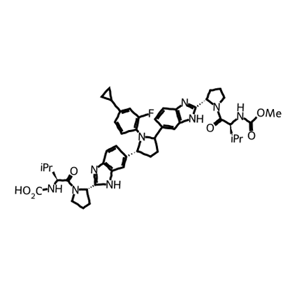 COC(=O)N[C@H](C(=O)N1CCC[C@H]1c1nc2ccc(C3CC[C@H](c4ccc5nc([C@@H]6CCCN6C(=O)[C@@H](NC(=O)O)C(C)C)[nH]c5c4)N3c3ccc(C4CC4)cc3F)cc2[nH]1)C(C)C